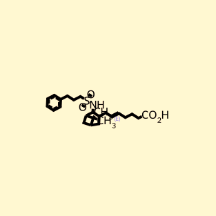 CC1(C)C2CC(C/C=C/CCCC(=O)O)C(NS(=O)(=O)CCCc3ccccc3)C1C2